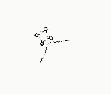 CCCCCCCCCCCCS[CH2][Cu][CH2]SCCCCCCCCCCCC.c1ccc2c(c1)-c1nc-2nc2[nH]c(nc3nc(nc4[nH]c(n1)c1ccccc41)-c1ccccc1-3)c1ccccc21